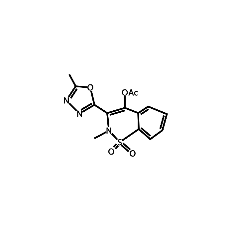 CC(=O)OC1=C(c2nnc(C)o2)N(C)S(=O)(=O)c2ccccc21